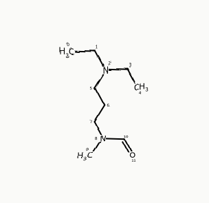 CCN(CC)CCCN(C)C=O